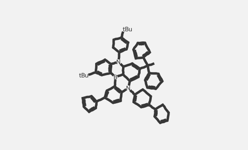 CC(C)(C)C1=CC=C(N2c3ccc(C(C)(C)C)cc3B3c4cc(-c5ccccc5)ccc4N(C4=CC=C(C5=CC=CCC5)CC4)C4=CC(C(C)(c5ccccc5)c5ccccc5)=CC2C34)CC1